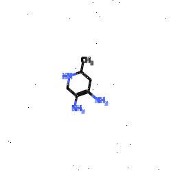 CC1CC(N)=C(N)CN1